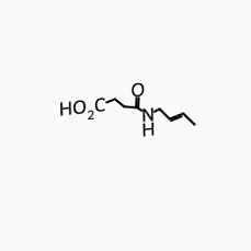 CC=CCNC(=O)CCC(=O)O